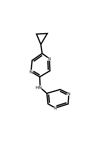 c1ncc(Nc2cnc(C3CC3)cn2)cn1